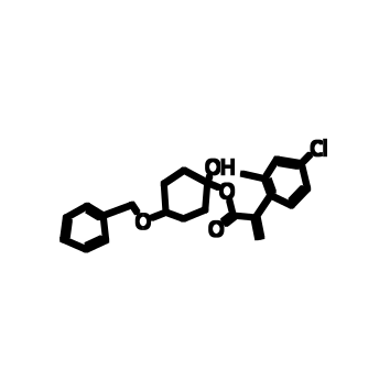 C=C(C(=O)OC1(O)CCC(OCc2ccccc2)CC1)c1ccc(Cl)cc1C